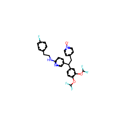 [O-][n+]1ccc(CC(c2ccc(NCCc3ccc(F)cc3)nc2)c2ccc(OC(F)F)c(OC(F)F)c2)cc1